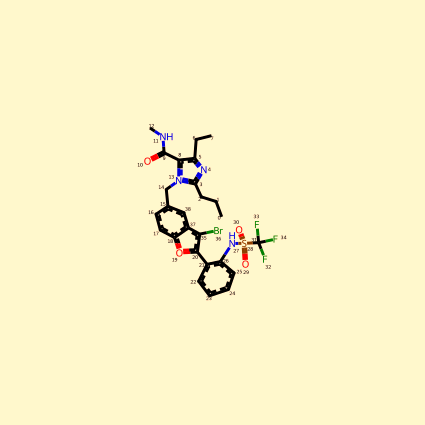 CCCc1nc(CC)c(C(=O)NC)n1Cc1ccc2oc(-c3ccccc3NS(=O)(=O)C(F)(F)F)c(Br)c2c1